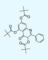 CC(C)(C)C(=O)Oc1cc2c(c(OC(=O)C(C)(C)C)c1)C(=O)C(OC(=O)C(C)(C)C)C(c1ccccc1)=N2